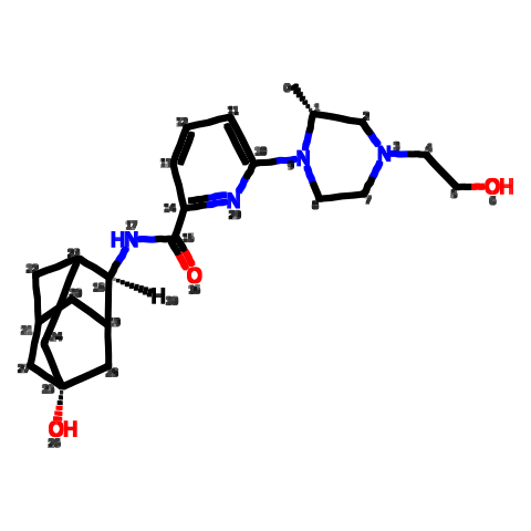 C[C@@H]1CN(CCO)CCN1c1cccc(C(=O)N[C@H]2C3CC4CC2C[C@](O)(C4)C3)n1